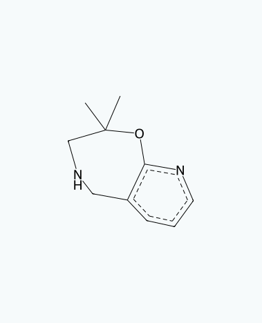 CC1(C)CNCc2cccnc2O1